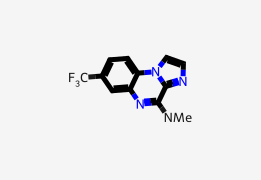 CNc1nc2cc(C(F)(F)F)ccc2n2ccnc12